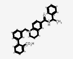 CC(NC(=O)c1ccc2c(c1)CCCN2Cc1cccc(-c2ccccc2C(=O)O)c1)c1ccccc1